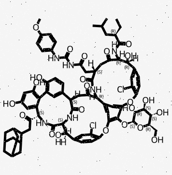 CC[C@H](CC(C)C)C(=O)N[C@H]1C(=O)C[C@@H](CC(=O)NC(=O)Nc2ccc(OC)cc2)C(=O)N[C@H]2C(=O)C[C@@H]3C(=O)N[C@H](C(=O)N[C@H](C(=O)CC4C5CC6CC(C5)CC4C6)c4cc(O)cc(O)c4-c4cc3ccc4O)[C@H](O)c3ccc(c(Cl)c3)Oc3cc2cc(c3O[C@@H]2O[C@H](CO)[C@@H](O)[C@H](O)[C@H]2O)Oc2ccc(cc2Cl)[C@H]1O